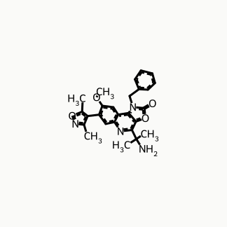 COc1cc2c(cc1-c1c(C)noc1C)nc(C(C)(C)N)c1oc(=O)n(Cc3ccccc3)c12